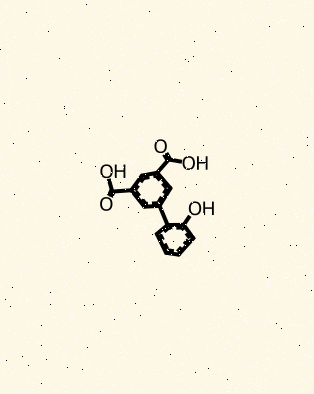 O=C(O)c1cc(C(=O)O)cc(-c2ccccc2O)c1